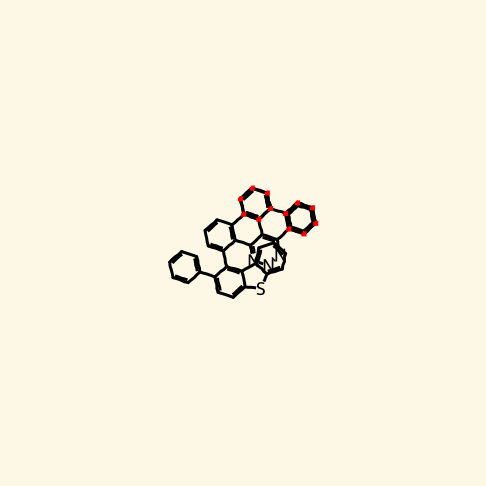 c1ccc(-c2ccccc2-c2c(-c3ccccc3)nnnc2-c2c(-c3ccccc3)cccc2-c2c(-c3ccccc3)ccc3sc4ccccc4c23)cc1